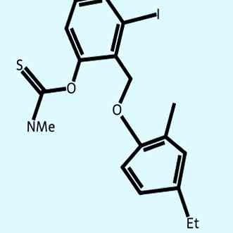 CCc1ccc(OCc2c(I)cccc2OC(=S)NC)c(C)c1